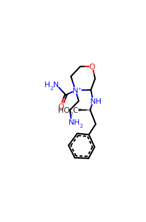 NCC[N+]1(C(N)=O)CCOCC1N[C@@H](Cc1ccccc1)C(=O)O